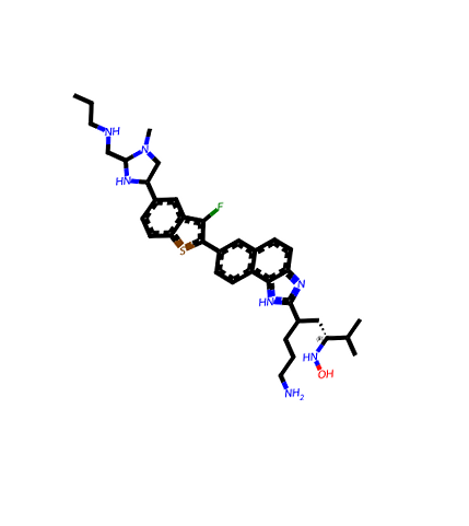 CCCNCC1NC(c2ccc3sc(-c4ccc5c(ccc6nc(C(CCCN)C[C@@H](NO)C(C)C)[nH]c65)c4)c(F)c3c2)CN1C